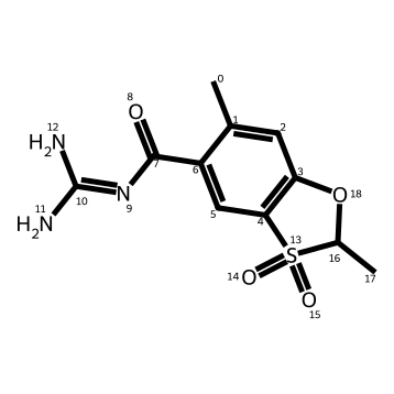 Cc1cc2c(cc1C(=O)N=C(N)N)S(=O)(=O)C(C)O2